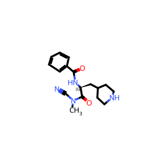 CN(C#N)C(=O)[C@H](CC1CCNCC1)NC(=O)c1ccccc1